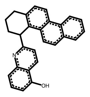 Oc1cccc2nc(C3CCCc4ccc5c(ccc6ccccc65)c43)ccc12